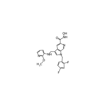 COc1ncccc1NCc1cn(Cc2ccc(F)cc2F)c2cnc(C(=O)NO)cc12